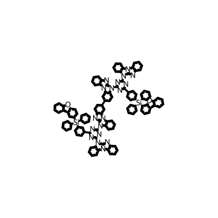 c1ccc([Si](c2ccccc2)(c2cccc(-c3nc(-n4c5ccccc5n5c6ccccc6nc45)nc(-n4c5ccccc5n5c6cc(-c7ccc8c(c7)n7c9ccccc9nc7n8-c7nc(-c8ccc([Si](c9ccccc9)(c9ccccc9)c9cccc%10c9oc9ccccc9%10)cc8)nc(-n8c9ccccc9n9c%10ccccc%10nc89)n7)ccc6nc45)n3)c2)c2ccc3oc4ccccc4c3c2)cc1